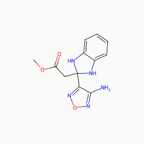 COC(=O)CC1(c2nonc2N)Nc2ccccc2N1